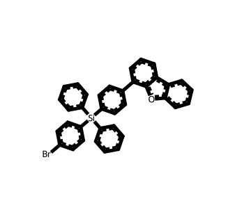 Brc1ccc([Si](c2ccccc2)(c2ccccc2)c2ccc(-c3cccc4c3oc3ccccc34)cc2)cc1